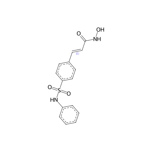 O=C(/C=C/c1ccc(S(=O)(=O)Nc2ccccc2)cc1)NO